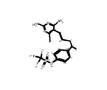 Cc1nc(N)nc(N)c1CCCC(C)c1ccc(OS(=O)(=O)C(F)(F)F)cc1